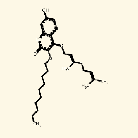 CCCCCCCCCCOc1c(OC/C=C(\C)CCC=C(C)C)c2ccc(O)cc2oc1=O